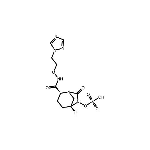 O=C(NOCCn1cncn1)[C@@H]1CC[C@@H]2CN1C(=O)N2OS(=O)(=O)O